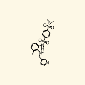 Cc1cccc(NS(=O)(=O)c2ccc(S(=O)(=O)N(C)C)cc2)c1N(C)Cc1cncs1